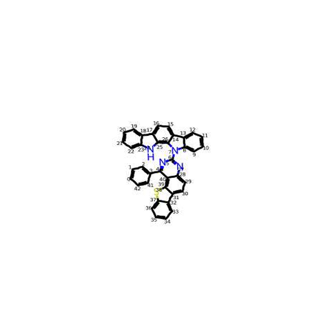 c1ccc(-c2nc(-n3c4ccccc4c4ccc5c6ccccc6[nH]c5c43)nc3ccc4c5ccccc5sc4c23)cc1